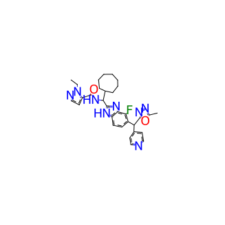 CCn1nccc1C(=O)NC(c1nc2c(F)c(C(c3ccncc3)c3nnc(C)o3)ccc2[nH]1)C1CCCCCCC1